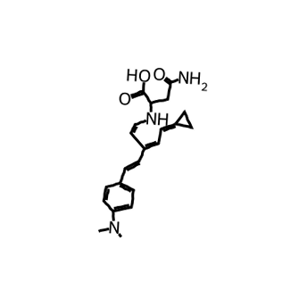 CN(C)c1ccc(/C=C/C(/C=C\NC(CC(N)=O)C(=O)O)=C/C=C2CC2)cc1